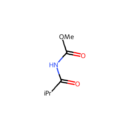 COC(=O)NC(=O)C(C)C